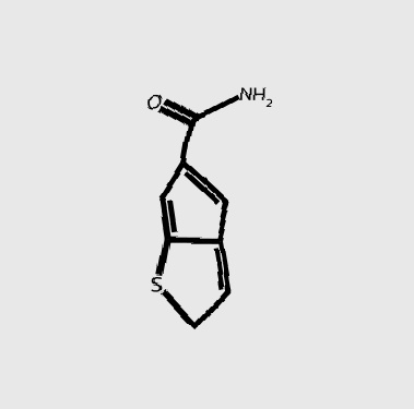 NC(=O)C1=CC2=CCSC2=C1